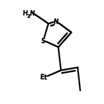 CC=C(CC)c1cnc(N)s1